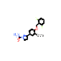 COc1cc(-c2ccn(C(N)=O)n2)ccc1OCc1c(F)cccc1F